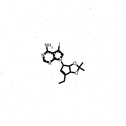 CCC1=CC(n2cc(I)c3c(N)ncnc32)C2OC(C)(C)OC12